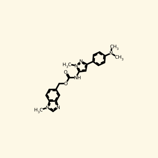 CN(C)c1ccc(-c2cc(NC(=O)OCc3ccc4c(c3)ncn4C)n(C)n2)cc1